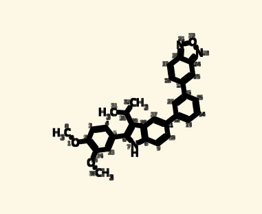 COc1ccc(-c2[nH]c3ccc(-c4cccc(-c5ccc6nonc6c5)c4)cc3c2C(C)C)cc1OC